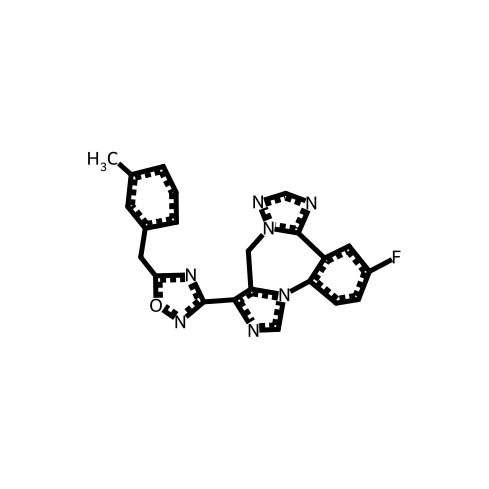 Cc1cccc(Cc2nc(-c3ncn4c3Cn3ncnc3-c3cc(F)ccc3-4)no2)c1